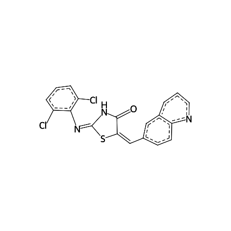 O=C1NC(=Nc2c(Cl)cccc2Cl)SC1=Cc1ccc2ncccc2c1